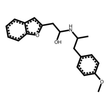 COc1ccc(CC(C)NC(O)Cc2cc3ccccc3o2)cc1